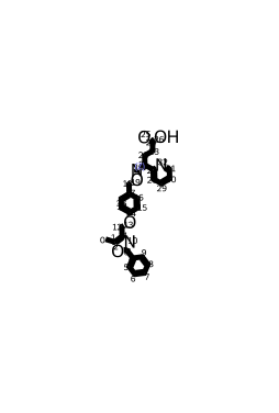 Cc1oc(-c2ccccc2)nc1COc1ccc(CO/N=C(/CCC(=O)O)c2ccccn2)cc1